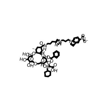 C[C@@H]1CC(C(=O)NCCCc2cn(CCCn3ccc4cc([N+](=O)[O-])ccc43)nn2)C[C@H]2O[C@@H]3O[C@@H](COC4O[C@@H](OC12)[C@@H](O)C(O)[C@@H]4O)[C@H](O)C(O[C@@H](CC1CCCCC1)C(=O)O)C3OC(=O)c1ccccc1